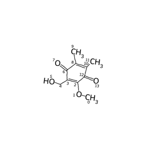 COC1=C(CO)C(=O)C(C)=C(C)C1=O